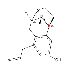 C=CCc1cc(O)cc2c1C[C@H]1SCC[C@@]23CCCC[C@@H]13